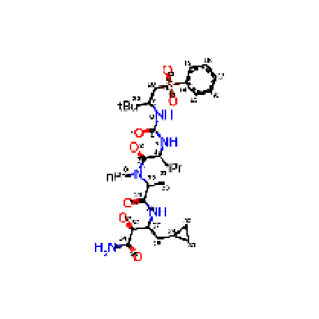 CCCN(C(=O)[C@@H](NC(=O)NC(CS(=O)(=O)c1ccccc1)C(C)(C)C)C(C)C)[C@@H](C)C(=O)NC(CC1CC1)C(=O)C(N)=O